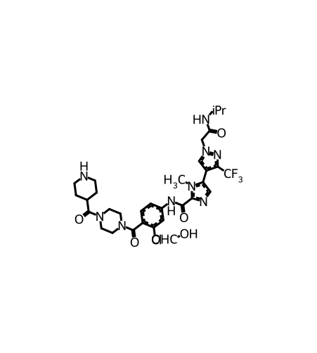 CC(C)NC(=O)Cn1cc(-c2cnc(C(=O)Nc3ccc(C(=O)N4CCN(C(=O)C5CCNCC5)CC4)c(Cl)c3)n2C)c(C(F)(F)F)n1.O=CO